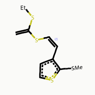 C=C(S/C=C\c1ccsc1SC)SCC